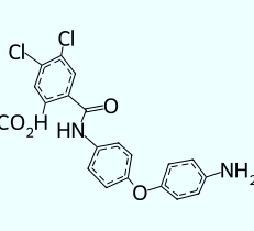 Nc1ccc(Oc2ccc(NC(=O)c3cc(Cl)c(Cl)cc3C(=O)O)cc2)cc1